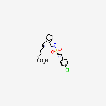 O=C(O)CCC/C=C/C1C2CCC(C2)C1CNS(=O)(=O)/C=C/c1ccc(Cl)cc1